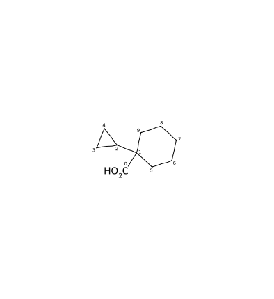 O=C(O)C1(C2CC2)CCCCC1